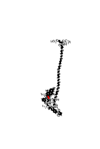 C[C@H](NC(=O)CCc1ccc(N2C(=O)C=CC2=O)cc1C(=O)NCC(=O)NCC(=O)NCCOCCOCCOCCOCCOCCOCCOCCOCCCCCOCCOCCOCCC(=O)N[C@@H](CCC(=O)O)C(=O)O)C(=O)N[C@@H](C)C(=O)NCOCC(=O)[C@@]12O[C@H](c3cccc(F)c3)O[C@@H]1C[C@H]1[C@@H]3C[C@H](F)C4=CC(=O)C=C[C@@]45O[C@@H](C[C@@]12C)[C@@]35F